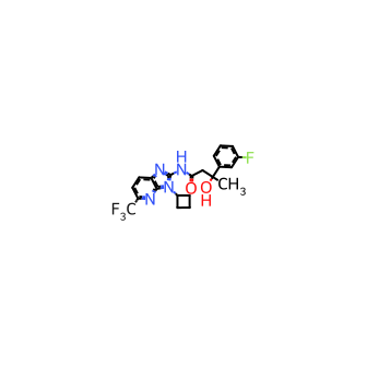 CC(O)(CC(=O)Nc1nc2ccc(C(F)(F)F)nc2n1C1CCC1)c1cccc(F)c1